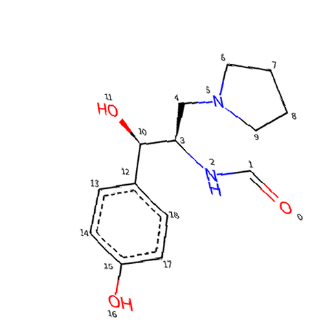 O=CN[C@H](CN1CCCC1)[C@H](O)c1ccc(O)cc1